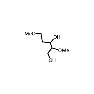 COCCC(O)C(CO)OC